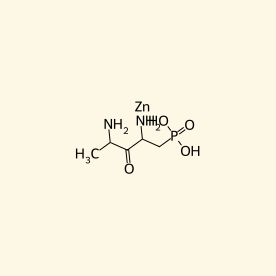 CC(N)C(=O)C(N)CP(=O)(O)O.[Zn]